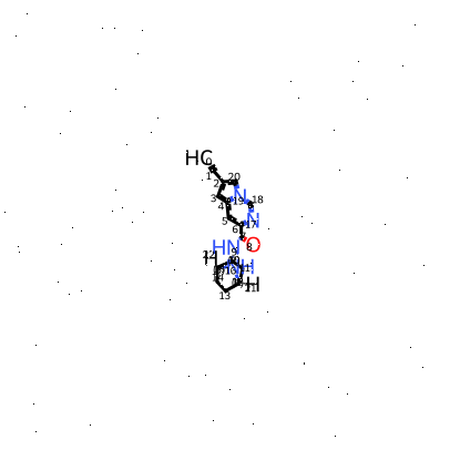 C#Cc1cc2cc(C(=O)N[C@@H]3C[C@H]4CC[C@@H]3N4)ncn2c1